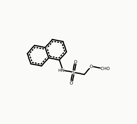 O=COCS(=O)(=O)Nc1cccc2ccccc12